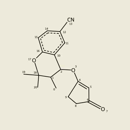 CC1C(OC2=CC(=O)CC2)c2cc(C#N)ccc2OC1(C)C